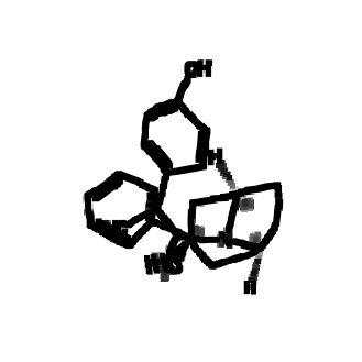 CC(C(O)c1ccc(O)cc1)N1[C@@H]2CC[C@H]1C[C@](O)(c1ccccc1)C2